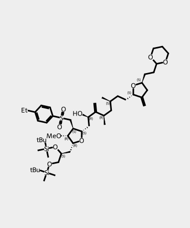 C=C([C@H](C)C[C@@H](C)CC[C@@H]1O[C@@H](CCC2OCCCO2)CC1=C)[C@H](O)C[C@@H]1O[C@H](C[C@@H](CO[Si](C)(C)C(C)(C)C)O[Si](C)(C)C(C)(C)C)[C@H](OC)[C@H]1CS(=O)(=O)c1ccc(CC)cc1